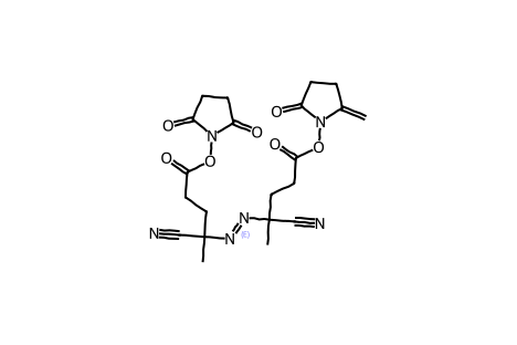 C=C1CCC(=O)N1OC(=O)CCC(C)(C#N)/N=N/C(C)(C#N)CCC(=O)ON1C(=O)CCC1=O